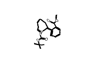 COC(=O)c1ccccc1C1CCCCN1C(=O)OC(C)(C)C